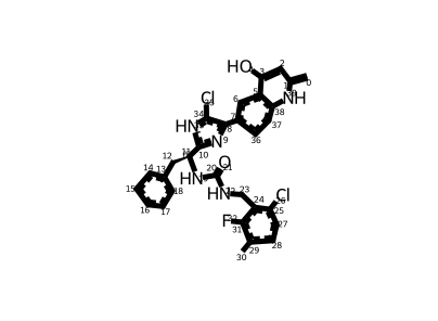 C=C1C=C(O)c2cc(-c3nc([C@H](Cc4ccccc4)NC(=O)NCc4c(Cl)ccc(C)c4F)[nH]c3Cl)ccc2N1